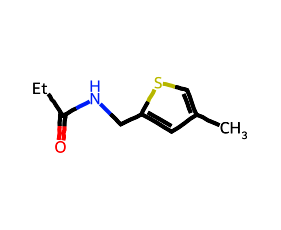 CCC(=O)NCc1cc(C)cs1